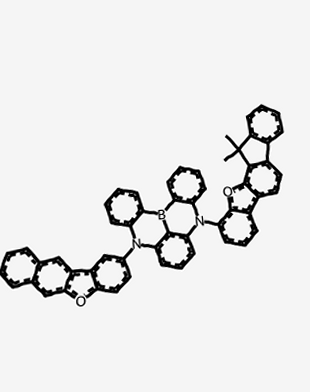 CC1(C)c2ccccc2-c2ccc3c(oc4c(N5c6ccccc6B6c7ccccc7N(c7ccc8oc9cc%10ccccc%10cc9c8c7)c7cccc5c76)cccc43)c21